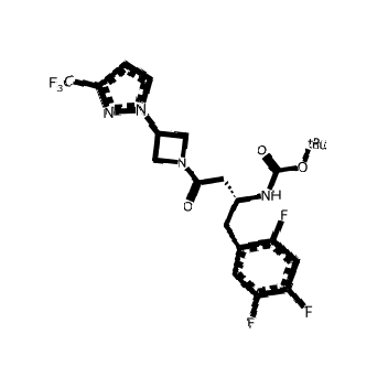 CC(C)(C)OC(=O)N[C@@H](CC(=O)N1CC(n2ccc(C(F)(F)F)n2)C1)Cc1cc(F)c(F)cc1F